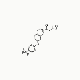 O=C(CC1COC1)N1CCc2ccc(Oc3ccc(C(F)(F)F)cc3)cc2C1